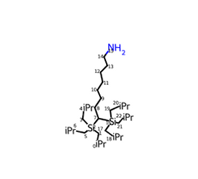 CC(C)C[Si](CC(C)C)(CC(C)C)C(CCCCCCCN)[Si](CC(C)C)(CC(C)C)CC(C)C